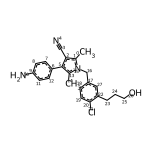 Cc1c(C#N)c(-c2ccc(N)cc2)c(C)n1Cc1ccc(Cl)c(CCCO)c1